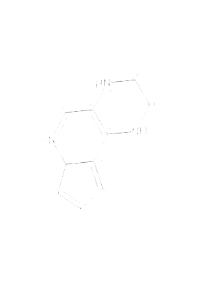 C1=CC2N=CC3=C(NCCN3)C2=C1